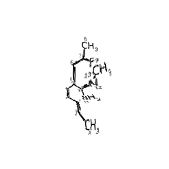 C/C=C/C=C\C(=C\C(C)F)C(\N)=N/C